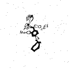 CCOC(=O)C(NC(=O)OC(C)(C)C)c1ccc(OCC2(C)CCCC2)cc1OC